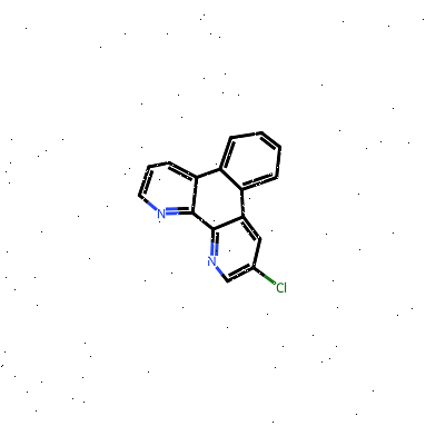 Clc1cnc2c(c1)c1ccccc1c1cccnc12